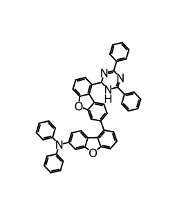 c1ccc(C2=NC(c3cccc4oc5cc(-c6cccc7oc8cc(N(c9ccccc9)c9ccccc9)ccc8c67)ccc5c34)NC(c3ccccc3)=N2)cc1